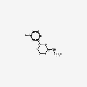 Cc1cccc(C2CCCC(NC(=O)O)C2)c1